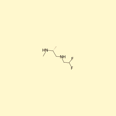 CN[C@H](C)CNCC(F)F